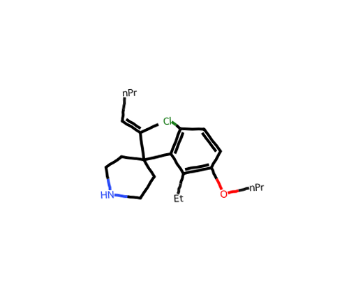 CCC/C=C(\C)C1(c2c(Cl)ccc(OCCC)c2CC)CCNCC1